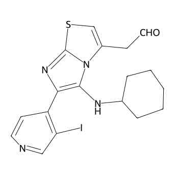 O=CCc1csc2nc(-c3ccncc3I)c(NC3CCCCC3)n12